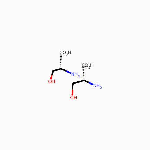 N[C@H](CO)C(=O)O.N[C@H](CO)C(=O)O